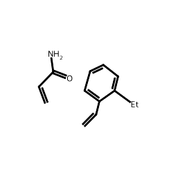 C=CC(N)=O.C=Cc1ccccc1CC